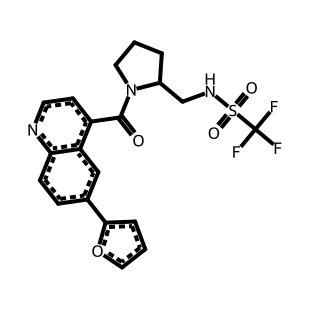 O=C(c1ccnc2ccc(-c3ccco3)cc12)N1CCCC1CNS(=O)(=O)C(F)(F)F